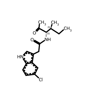 CC[C@H](C)[C@H](NC(=O)Cc1c[nH]c2ccc(Cl)cc12)C(C)=O